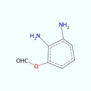 Nc1cccc(OC=O)c1N